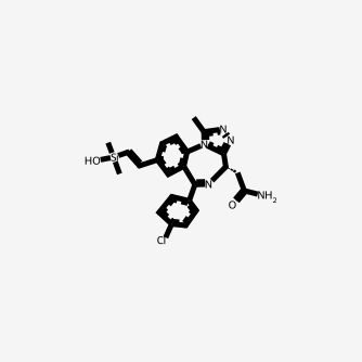 Cc1nnc2n1-c1ccc(C=C[Si](C)(C)O)cc1C(c1ccc(Cl)cc1)=N[C@H]2CC(N)=O